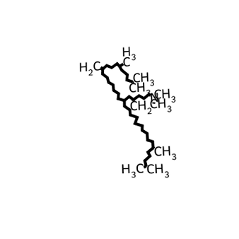 C=C(CCCCCCCC(CCCCCCCCCCC(C)CCCC(C)C)CC(=C)CCCN(C)C)CCCC(C)CCCC(C)C